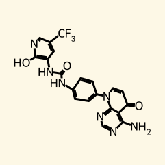 Nc1ncnc2c1c(=O)ccn2-c1ccc(NC(=O)Nc2cc(C(F)(F)F)cnc2O)cc1